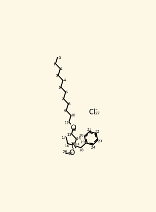 CCCCCCCCCCCCOCC[N+](CC)(Cc1ccccc1)OC.[Cl-]